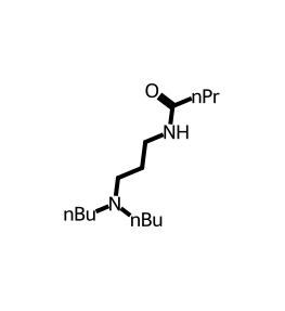 CCCCN(CCCC)CCCNC(=O)CCC